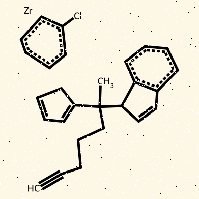 C#CCCCC(C)(C1=CC=CC1)C1C=Cc2ccccc21.Clc1ccccc1.[Zr]